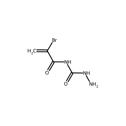 C=C(Br)C(=O)NC(=O)NN